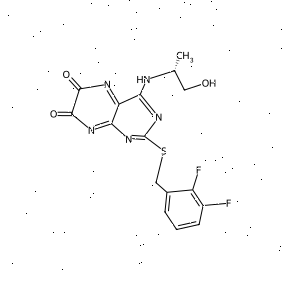 C[C@H](CO)Nc1nc(SCc2cccc(F)c2F)nc2c1=NC(=O)C(=O)N=2